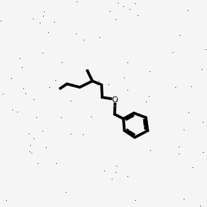 CCCC(C)CCOCc1ccccc1